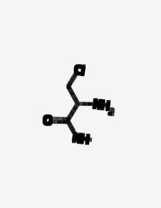 [NH]C(=O)C(N)CCl